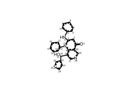 O=c1cc(Nc2ccccc2)n(-c2ccccc2)c2c(C(O)c3ccsc3)cncc12